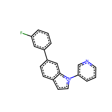 Fc1cccc(-c2ccc3ccn(-c4cccnc4)c3c2)c1